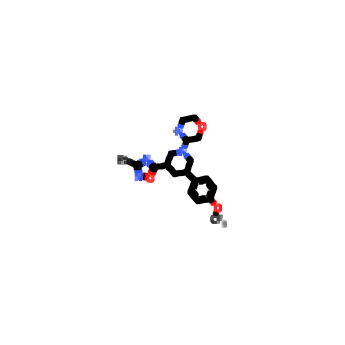 CCc1noc(C2CC(c3ccc(OC(F)(F)F)cc3)CN(C3COCC[N]3)C2)n1